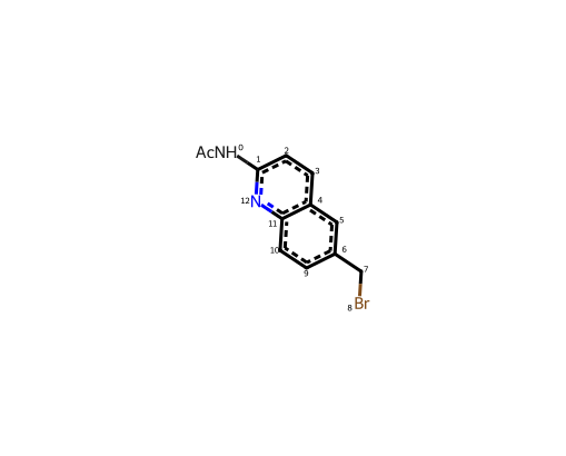 CC(=O)Nc1ccc2cc(CBr)ccc2n1